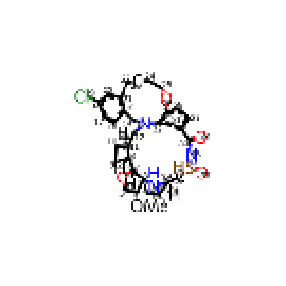 CO[C@H]1C[C@@]23CCO[C@@H]2[C@@H]2CC[C@H]2CN2Cc4ccc(Cl)cc4CCCCOc4ccc(cc42)C(=O)/N=[SH](=O)\C[C@H]1N3